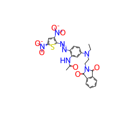 CCN(CCN1C(=O)c2ccccc2C1=O)c1ccc(/N=N/c2sc([N+](=O)[O-])cc2[N+](=O)[O-])c(NC(C)=O)c1